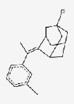 CC(=C1C2CC3CC1CC(Cl)(C3)C2)c1cccc(C)c1